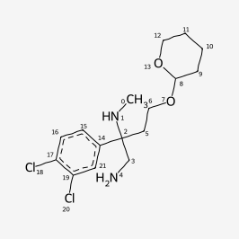 CNC(CN)(CCOC1CCCCO1)c1ccc(Cl)c(Cl)c1